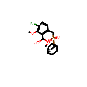 COc1c(Br)ccc(CS(=O)(=O)C2CC3CCC2CC3)c1C(O)OC